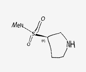 CNS(=O)(=O)[C@@H]1CCNC1